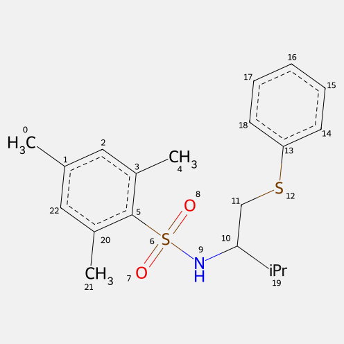 Cc1cc(C)c(S(=O)(=O)NC(CSc2ccccc2)C(C)C)c(C)c1